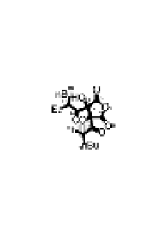 CCCCC(CC)C(=O)C1(O)C(=O)OC(=O)C1(O)C(=O)C(CC)CCCC